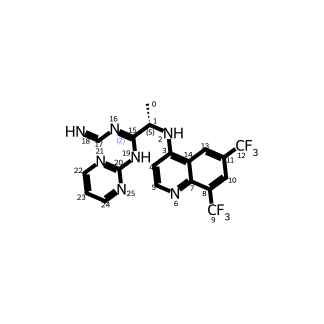 C[C@H](Nc1ccnc2c(C(F)(F)F)cc(C(F)(F)F)cc12)/C(=N/C=N)Nc1ncccn1